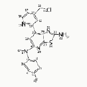 CN(c1ccc(F)cc1)c1cc(-c2cc(CCl)ccn2)c2nc(N)sc2n1